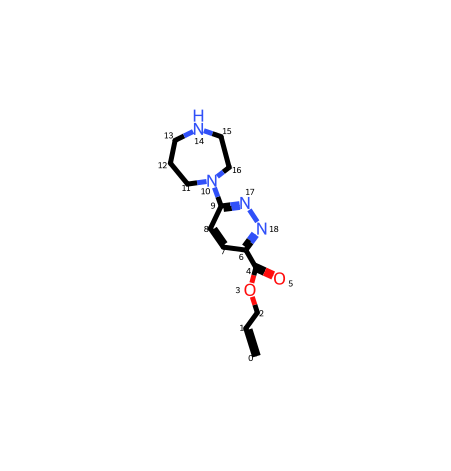 C=CCOC(=O)c1ccc(N2CCCNCC2)nn1